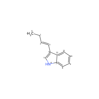 [CH2]CC=Cc1c[nH]c2ccccc12